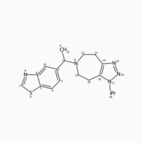 CC(c1ccc2scnc2c1)N1CCc2nnn(C(C)C)c2CC1